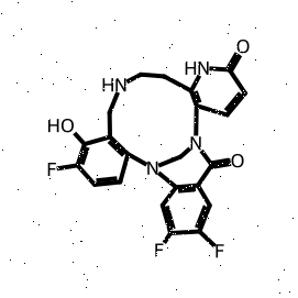 O=C1c2cc(F)c(F)cc2N2CN1c1ccc(=O)[nH]c1CCNCc1c2ccc(F)c1O